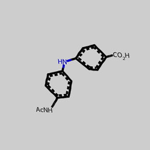 CC(=O)Nc1ccc(Nc2ccc(C(=O)O)cc2)cc1